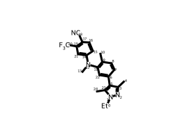 CCn1nc(C)c(-c2ccc(C)c(N(C)c3ccc(C#N)c(C(F)(F)F)c3)c2)c1C